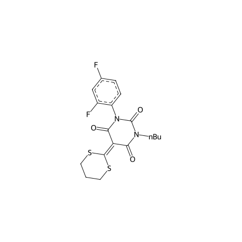 CCCCN1C(=O)C(=C2SCCCS2)C(=O)N(c2ccc(F)cc2F)C1=O